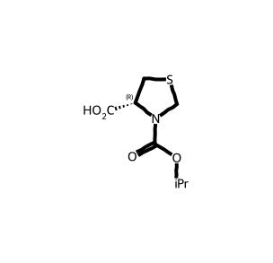 CC(C)OC(=O)N1CSC[C@H]1C(=O)O